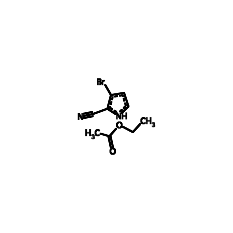 CCOC(C)=O.N#Cc1[nH]ccc1Br